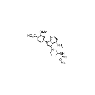 COc1nc(-n2cc(N3CCCC(NC(=O)OC(C)(C)C)C3)c3c(N)ncnc32)ccc1C(=O)O